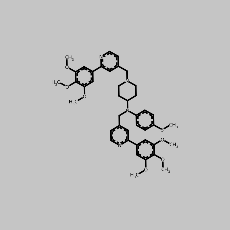 COc1cc(-c2cc(CN3CCC(N(Cc4ccnc(-c5cc(OC)c(OC)c(OC)c5)c4)c4ccc(SC)cc4)CC3)ccn2)cc(OC)c1OC